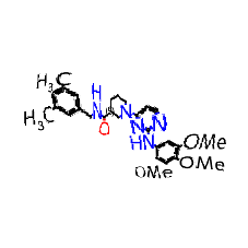 COc1cc(Nc2nccc(N3CCC[C@H](C(=O)NCc4cc(C)cc(C)c4)C3)n2)cc(OC)c1OC